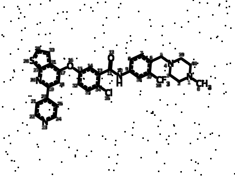 CN1CCN(Cc2ccc(NC(=O)c3cc(Oc4cc(-c5ccncc5)nc5sccc45)ccc3Cl)cc2C(F)(F)F)CC1